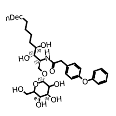 CCCCCCCCCCCCCC[C@@H](O)[C@@H](O)[C@H](CO[C@H]1OC(CO)[C@H](O)[C@H](O)C1O)NC(=O)Cc1ccc(Oc2ccccc2)cc1